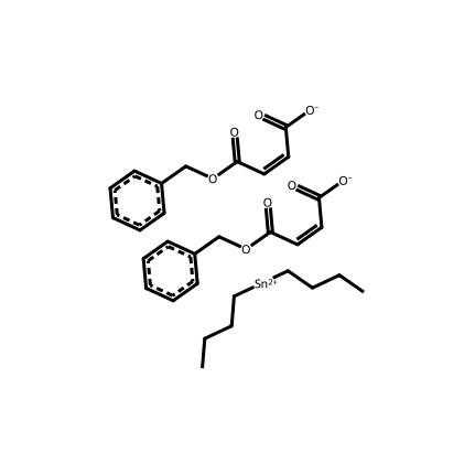 CCC[CH2][Sn+2][CH2]CCC.O=C([O-])/C=C\C(=O)OCc1ccccc1.O=C([O-])/C=C\C(=O)OCc1ccccc1